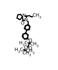 CCCC1=NC2(CCCC2)C(=O)N1Cc1ccc(-c2cccc(OC(C)(C)C(=O)OC(C)(C)C)c2)cc1